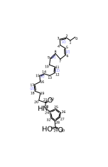 CC/C=C\C/C=C\C/C=C\C/C=C\C/C=C\C/C=C\CCC(=O)Nc1cccc(C(=O)O)c1